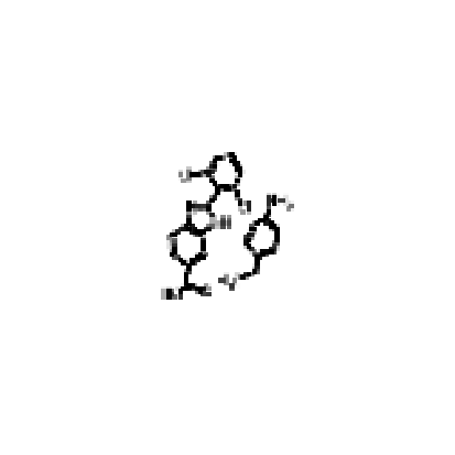 CCc1ccc(N)cc1.O=C(O)c1ccc2nc(-c3c(Cl)cccc3Cl)[nH]c2c1